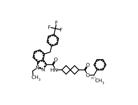 CCn1nc(C(=O)NC2CC3(C2)CC(C(=O)O[C@@H](C)c2ccccc2)C3)c2c(Cc3ccc(C(F)(F)F)cc3)cccc21